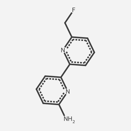 Nc1cccc(-c2cccc(CF)n2)n1